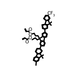 C=CC(=O)OCCCC1(CCCOC(=O)C=C)c2cc(-c3ccc4c(c3)C(C)(C)c3cc(C)ccc3-4)ccc2-c2ccc(-c3ccc4c(c3)C(C)(C)c3cc(C(F)(F)F)ccc3-4)cc21